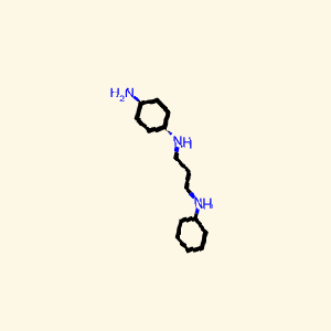 N[C@H]1CC[C@H](NCCCNC2CCCCC2)CC1